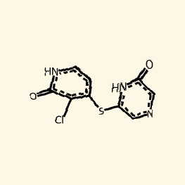 O=c1cncc(Sc2cc[nH]c(=O)c2Cl)[nH]1